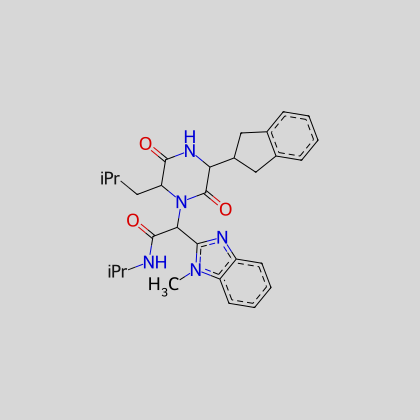 CC(C)CC1C(=O)NC(C2Cc3ccccc3C2)C(=O)N1C(C(=O)NC(C)C)c1nc2ccccc2n1C